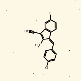 C#CC1=C(C)C(=Cc2ccc(Cl)cc2)c2ccc(F)cc21